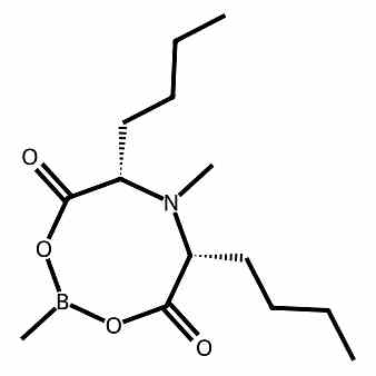 CCCC[C@@H]1C(=O)OB(C)OC(=O)[C@H](CCCC)N1C